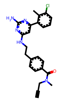 C#CCN(C)C(=O)c1ccc(CCNc2cc(-c3cccc(Cl)c3C)nc(N)n2)cc1